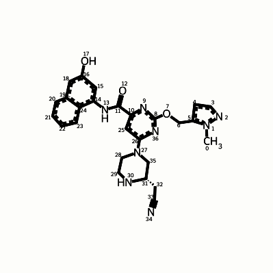 Cn1nccc1COc1nc(C(=O)Nc2cc(O)cc3ccccc23)cc(N2CCN[C@@H](CC#N)C2)n1